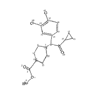 CC(C)(C)OC(=O)N1CCN(C(C(=O)C2CC2)c2ccc(Cl)c(Cl)c2)CC1